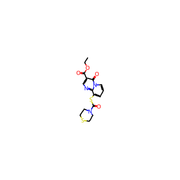 CCOC(=O)c1cnc2c(SC(=O)N3CCSCC3)cccn2c1=O